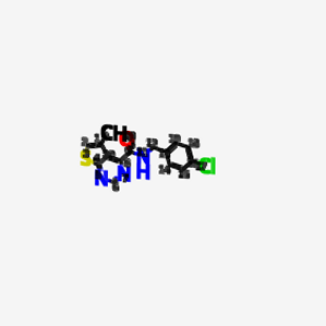 Cc1csc2ncnc(C(=O)NCc3ccc(Cl)cc3)c12